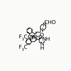 Cc1ccccc1/C1=C/C(N2CCN(C=O)CC2)OC2=C(CNCN2)C(Cc2cc(C(F)(F)F)cc(C(F)(F)F)c2)[NH+]1[O-]